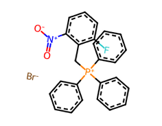 O=[N+]([O-])c1cccc(F)c1C[P+](c1ccccc1)(c1ccccc1)c1ccccc1.[Br-]